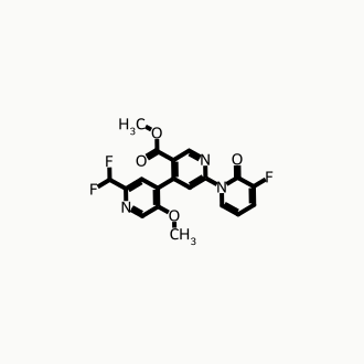 COC(=O)c1cnc(-n2cccc(F)c2=O)cc1-c1cc(C(F)F)ncc1OC